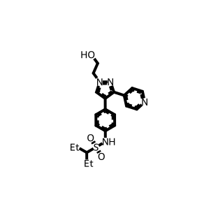 CCC(CC)S(=O)(=O)Nc1ccc(-c2cn(CCO)nc2-c2ccncc2)cc1